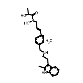 Cc1[nH]c2ccccc2c1CCNCc1ccc(/C=C/CN(O)C(=O)C(C)O)cc1.O